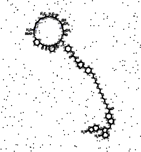 CO[C@H]1CC2CCCC(O2)C(=O)C(=O)N2CCCC[C@H]2C(=O)O[C@H](CC[C@H]2CC[C@H](OC(=O)NCc3cnc(N4CCN(CCOCCOCCOCCOCCC(=O)N5CCc6cc(Cn7nc(-c8ccc9oc(N)nc9c8)c8c(N)ncnc87)ccc6C5)CC4)nc3)CC2)CC(=O)[C@H](C)/C=C(\C)[C@@H](O)CC(=O)[C@H](C)C[C@H](C)/C=C/C=C/C=C/1C